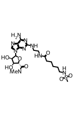 CNC(=O)[C@H]1OC(n2cnc3c(N)nc(NCCNC(=O)CCCCCNS(C)(=O)=O)nc32)[C@H](O)[C@@H]1O